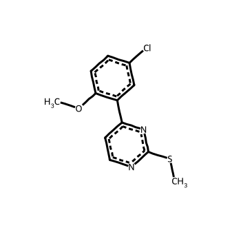 COc1ccc(Cl)cc1-c1ccnc(SC)n1